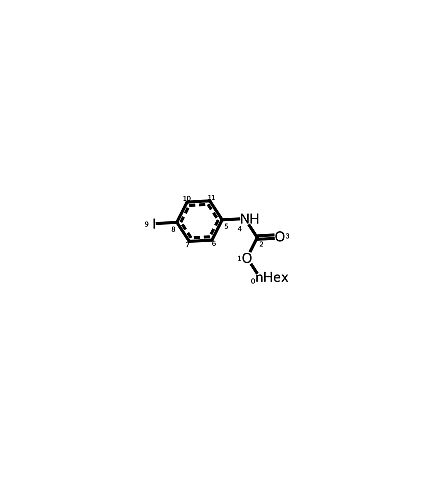 CCCCCCOC(=O)Nc1ccc(I)cc1